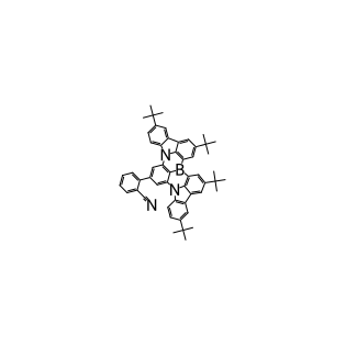 CC(C)(C)c1ccc2c(c1)c1cc(C(C)(C)C)cc3c1n2-c1cc(-c2ccccc2C#N)cc2c1B3c1cc(C(C)(C)C)cc3c4cc(C(C)(C)C)ccc4n-2c13